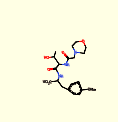 COc1ccc(CC(NC(=O)C(NC(=O)CN2CCOCC2)C(C)O)C(=O)O)cc1